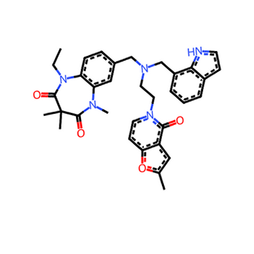 CCN1C(=O)C(C)(C)C(=O)N(C)c2cc(CN(CCn3ccc4oc(C)cc4c3=O)Cc3cccc4cc[nH]c34)ccc21